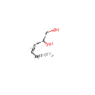 CN(O)/C=C\C(O)CO